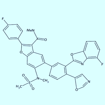 CNC(=O)c1c(-c2ccc(F)cc2)oc2cc(N(C)S(C)(=O)=O)c(-c3ccc(-c4cnco4)c(-c4nc5c(F)cccc5o4)c3)cc12